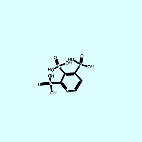 O=P(O)(O)c1ccnc(P(=O)(O)O)c1P(=O)(O)O